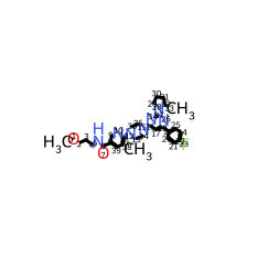 COCCCNC(=O)c1cnc(N2CCN(c3cc(-c4ccc(F)cc4)nc(N4CCCC4C)n3)CC2)c(C)c1